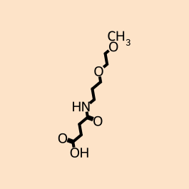 COCCOCCCNC(=O)CCC(=O)O